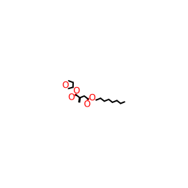 C=C(CC(=O)OCCCCCCCC)C(=O)O[C@H]1CCOC1